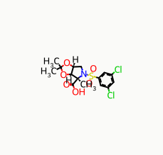 CC1(C)O[C@@H]2[C@@H](CN(S(=O)(=O)c3cc(Cl)cc(Cl)c3)[C@]2(C)C(=O)O)O1